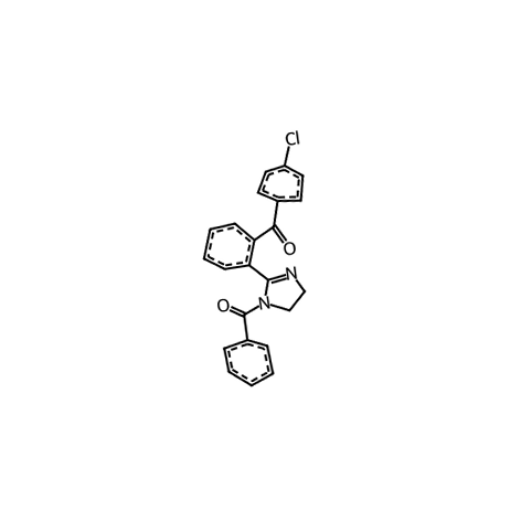 O=C(c1ccc(Cl)cc1)c1ccccc1C1=NCCN1C(=O)c1ccccc1